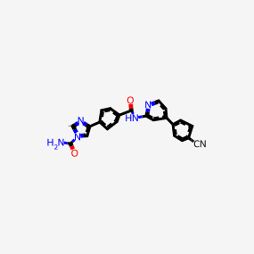 N#Cc1ccc(-c2ccnc(NC(=O)c3ccc(-c4cn(C(N)=O)[c]n4)cc3)c2)cc1